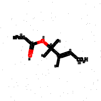 CCCCCC(=O)OC(C)(C)C(C)=CC(=O)O